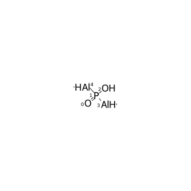 O=[P](O)([AlH])[AlH]